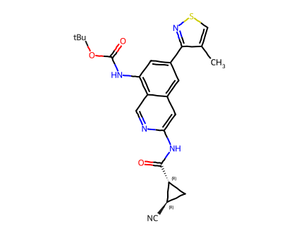 Cc1csnc1-c1cc(NC(=O)OC(C)(C)C)c2cnc(NC(=O)[C@@H]3C[C@H]3C#N)cc2c1